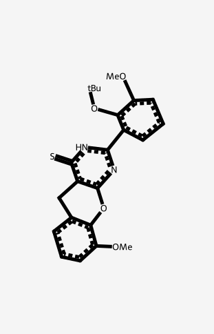 COc1cccc2c1Oc1nc(-c3cccc(OC)c3OC(C)(C)C)[nH]c(=S)c1C2